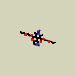 CCCOCCOC(=O)C1=C(C)NC(C)=C(C(=O)OCCOCCC)C1c1ccc[n+](C)c1.I.[I-]